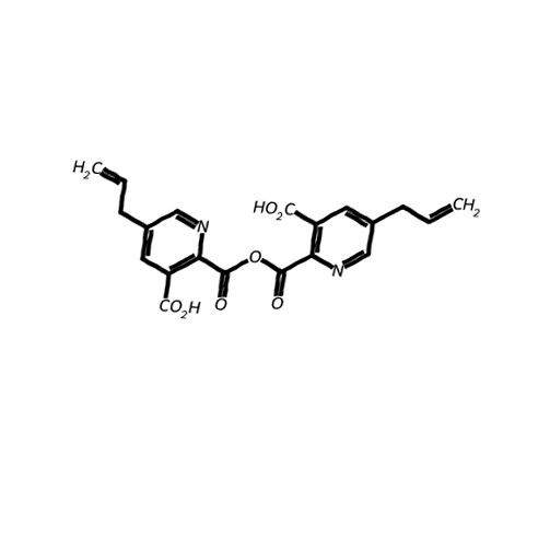 C=CCc1cnc(C(=O)OC(=O)c2ncc(CC=C)cc2C(=O)O)c(C(=O)O)c1